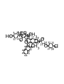 Cc1c(C(=O)N(C)c2ccc(O)cc2)cc(-c2cc3cn(C(=O)CCOc4ccc(Cl)cc4)cc3cc2C(=O)N2Cc3ccccc3C[C@H]2C)n1C